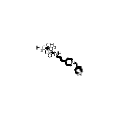 CC(C)(C)OC(=O)NCC=CC1CCN(Cc2ccncc2)CC1